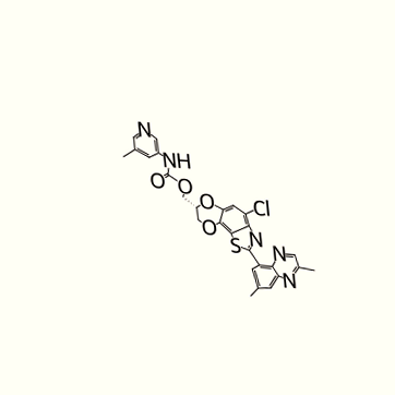 Cc1cncc(NC(=O)OC[C@H]2COc3c(cc(Cl)c4nc(-c5cc(C)cc6nc(C)cnc56)sc34)O2)c1